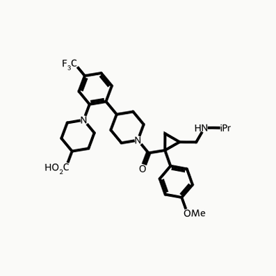 COc1ccc(C2(C(=O)N3CCC(c4ccc(C(F)(F)F)cc4N4CCC(C(=O)O)CC4)CC3)CC2CNC(C)C)cc1